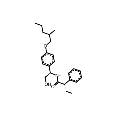 CCCC(C)COc1ccc([C@H](CO)NC(=O)[C@@H](CC)c2ccccc2)cc1